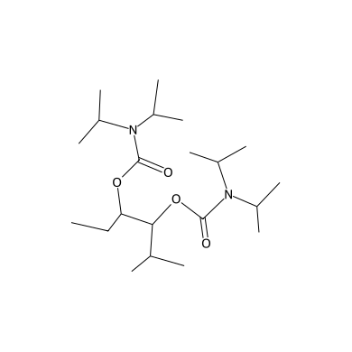 CCC(OC(=O)N(C(C)C)C(C)C)C(OC(=O)N(C(C)C)C(C)C)C(C)C